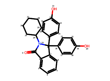 O=C1c2ccccc2C(c2ccc(O)cc2)(c2ccc(O)cc2)N1C1CCCCC1